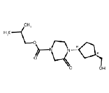 CC(C)COC(=O)N1CCN([C@@H]2CC[C@@H](CO)C2)C(=O)C1